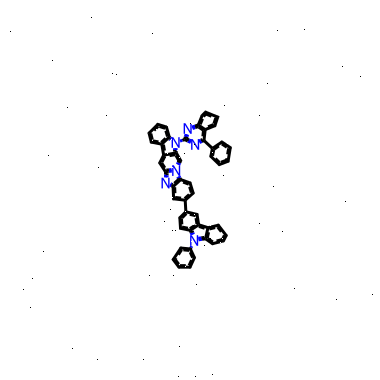 c1ccc(-c2nc(-n3c4ccccc4c4cc5nc6cc(-c7ccc8c(c7)c7ccccc7n8-c7ccccc7)ccc6n5cc43)nc3ccccc23)cc1